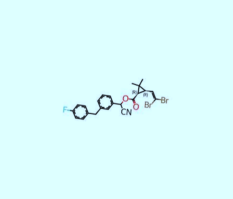 CC1(C)[C@H](C(=O)OC(C#N)c2cccc(Cc3ccc(F)cc3)c2)[C@@H]1C=C(Br)Br